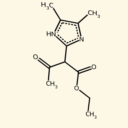 CCOC(=O)C(C(C)=O)c1nc(C)c(C)[nH]1